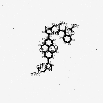 CCCN(C)Cc1ncc(-c2cc3c4c(c2)OCc2cc(-c5cnc(CN(CCC)C(=O)[C@H](NC(=O)C(C)C)c6ccccc6)[nH]5)cc(c2-4)OC3)[nH]1